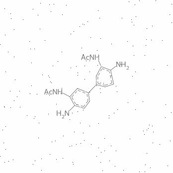 CC(=O)Nc1cc(-c2ccc(N)c(NC(C)=O)c2)ccc1N